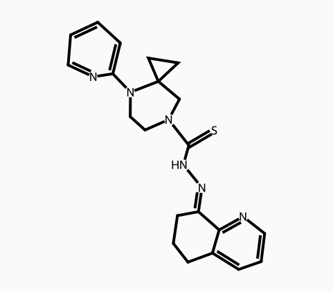 S=C(NN=C1CCCc2cccnc21)N1CCN(c2ccccn2)C2(CC2)C1